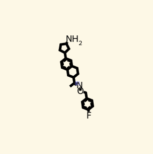 C/C(=N\OCc1ccc(F)cc1)C1CCc2cc(C3CCC(N)C3)ccc2C1